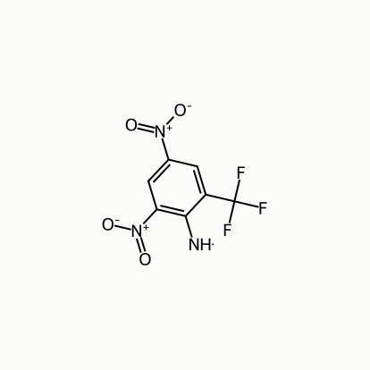 [NH]c1c([N+](=O)[O-])cc([N+](=O)[O-])cc1C(F)(F)F